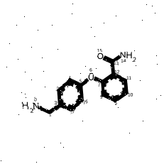 NCc1ccc(Oc2ccccc2C(N)=O)cc1